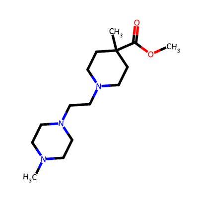 COC(=O)C1(C)CCN(CCN2CCN(C)CC2)CC1